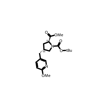 COC(=O)[C@@H]1C[C@@H](Cc2ccc(OC)nc2)CN1C(=O)OC(C)(C)C